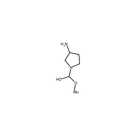 CC(C)(C)OC(O)N1CCC(N)C1